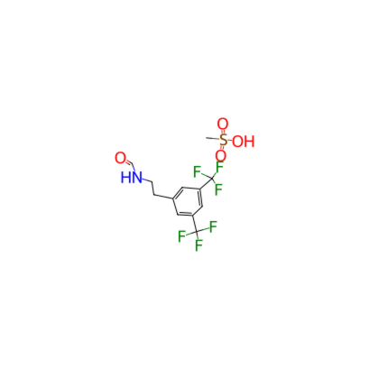 CS(=O)(=O)O.O=CNCCc1cc(C(F)(F)F)cc(C(F)(F)F)c1